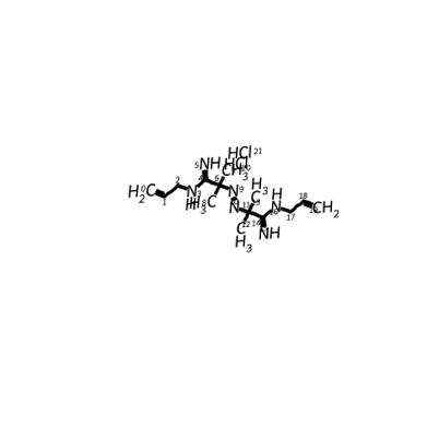 C=CCNC(=N)C(C)(C)/N=N/C(C)(C)C(=N)NCC=C.Cl.Cl